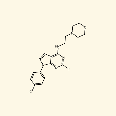 Clc1ccc(-n2ncc3c(NCCN4CCOCC4)nc(Cl)nc32)cc1